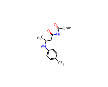 COC(=O)NC(=O)C[C@H](C)Nc1ccc(C(F)(F)F)cc1